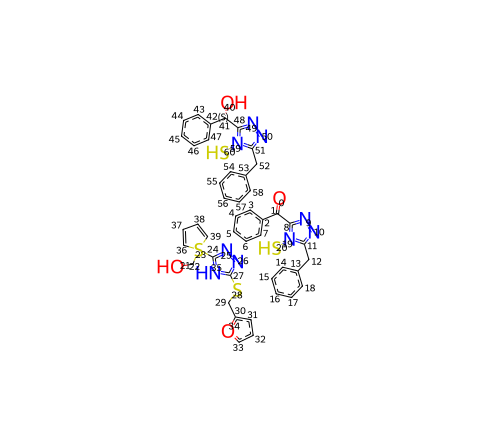 O=C(c1ccccc1)c1nnc(Cc2ccccc2)n1S.OCS1(c2nnc(SCc3ccco3)[nH]2)C=CC=C1.O[C@@H](c1ccccc1)c1nnc(Cc2ccccc2)n1S